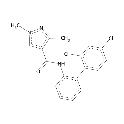 Cc1nn(C)cc1C(=O)Nc1ccccc1-c1ccc(Cl)cc1Cl